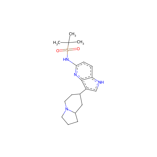 CC(C)(C)S(=O)(=O)Nc1ccc2[nH]cc(C3CCN4CCCC4C3)c2n1